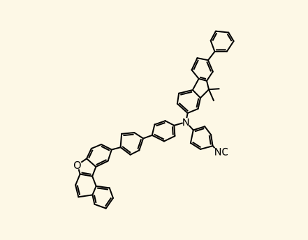 [C-]#[N+]c1ccc(N(c2ccc(-c3ccc(-c4ccc5oc6ccc7ccccc7c6c5c4)cc3)cc2)c2ccc3c(c2)C(C)(C)c2cc(-c4ccccc4)ccc2-3)cc1